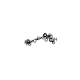 O=C1CCC(N2C(=O)c3cccc(OCCOCCOCCNC(=O)C(F)(F)F)c3C2=O)C(=O)N1